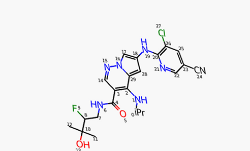 CC(C)Nc1c(C(=O)NCC(F)C(C)(C)O)cnn2cc(Nc3ncc(C#N)cc3Cl)cc12